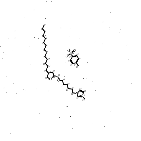 CCCCCCCCCCCCCCC1COC(COCCCCCCn2cc[n+](C)c2)C1.Cc1ccc(S(=O)(=O)[O-])cc1